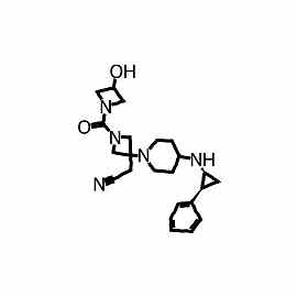 N#CCC1(N2CCC(N[C@@H]3C[C@H]3c3ccccc3)CC2)CN(C(=O)N2CC(O)C2)C1